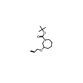 C=CCOC1CCCCN(C(=O)OC(C)(C)C)C1